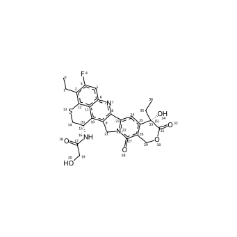 CCc1c(F)cc2nc3c(c4c2c1SC[C@H]4NC(=O)CO)Cn1c-3cc2c(c1=O)COC(=O)[C@]2(O)CC